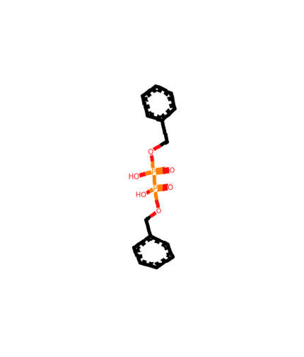 O=P(O)(OCc1ccccc1)P(=O)(O)OCc1ccccc1